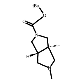 CN1C[C@@H]2CN(C(=O)OC(C)(C)C)C[C@H]2C1